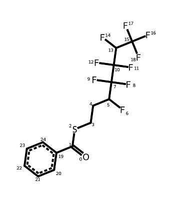 O=C(SCCC(F)C(F)(F)C(F)(F)C(F)C(F)(F)F)c1ccccc1